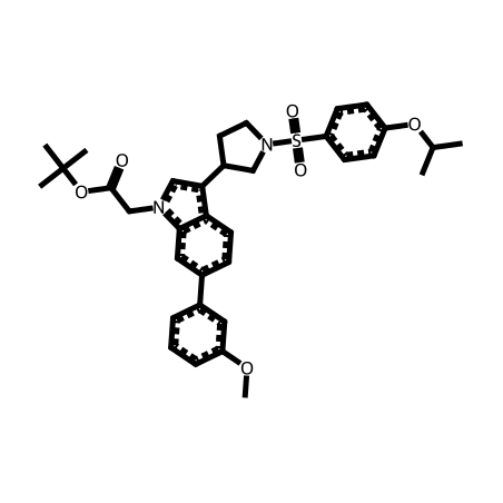 COc1cccc(-c2ccc3c(C4CCN(S(=O)(=O)c5ccc(OC(C)C)cc5)C4)cn(CC(=O)OC(C)(C)C)c3c2)c1